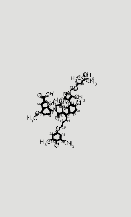 COc1ccc(N2C[C@@H](C)n3c(c(CCCOc4cc(C)c(Cl)c(C)c4)c4ccc(Cl)c(-c5c(C)nn(COCC[Si](C)(C)C)c5C)c43)C2=O)c2[nH]c(C(=O)O)cc12